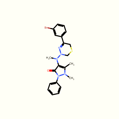 Cc1c(N(C)N2CSCC(c3cccc(Br)c3)=N2)c(=O)n(-c2ccccc2)n1C